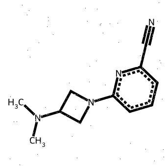 CN(C)C1CN(c2cccc(C#N)n2)C1